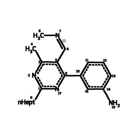 CCCCCCCc1nc(C)c(/C=N\C)c(-c2cccc(N)c2)n1